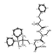 COC(=O)[C@H](CCC(C)(C)[Si](O)(c1ccccc1)c1ccccc1)NC(=O)[C@H](CC(C)C)NC(=O)[C@@H](N)CCc1ccccc1